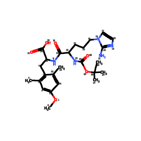 COc1cc(C)c(CC(NC(=O)C(CCCn2ccnc2N)NC(=O)OC(C)(C)C)C(=O)O)c(C)c1